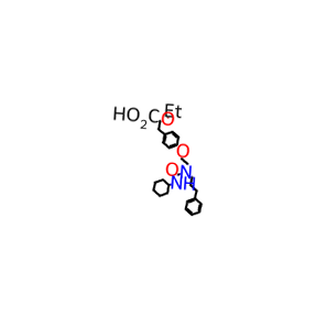 CCOC(Cc1ccc(OCCN(CCCc2ccccc2)C(=O)NC2CCCCC2)cc1)C(=O)O